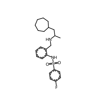 CC(CC1CCCCCC1)NCc1ccccc1NS(=O)(=O)c1ccc(F)cc1